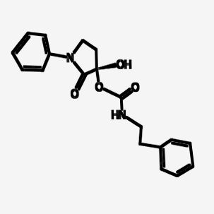 O=C(NCCc1ccccc1)O[C@@]1(O)CCN(c2ccccc2)C1=O